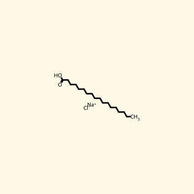 CCCCCCCCCCCCCCCCCC(=O)O.[Cl-].[Na+]